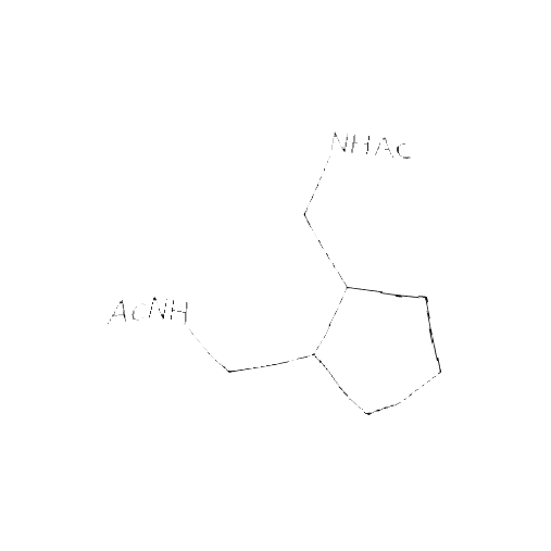 CC(=O)NCC1CCCC1CNC(C)=O